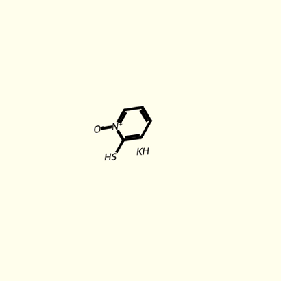 [KH].[O-][n+]1ccccc1S